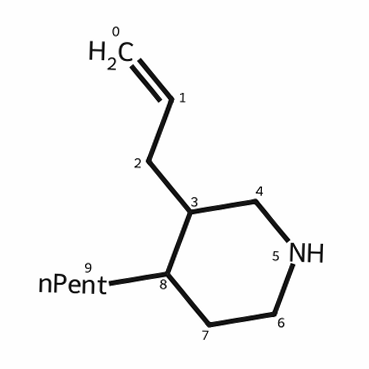 C=CCC1CNCCC1CCCCC